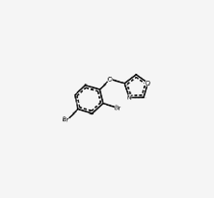 Brc1ccc(Oc2co[c]n2)c(Br)c1